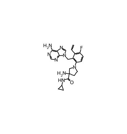 C=Cc1c(F)ccc(N2CCC(N)(C(=O)NC3CC3)C2)c1Cn1cnc2c(N)ncnc21